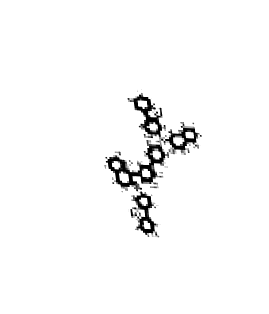 c1ccc2cc(N(c3ccc(-c4ccc5c(c4)c4c6ccccc6ccc4n5-c4ccc5c(c4)oc4ccccc45)cc3)c3ccc4c(c3)oc3ccccc34)ccc2c1